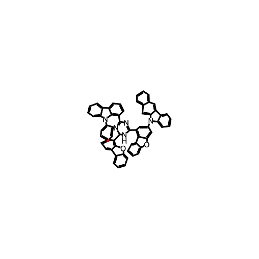 c1ccc(-n2c3ccccc3c3cccc(C4=NC(c5cccc6c5oc5ccccc56)NC(c5cc(-n6c7ccccc7c7cc8ccccc8cc76)cc6oc7ccccc7c56)=N4)c32)cc1